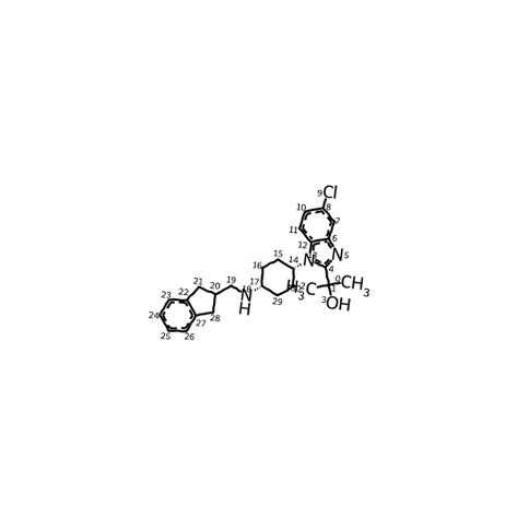 CC(C)(O)c1nc2cc(Cl)ccc2n1[C@H]1CC[C@@H](NCC2Cc3ccccc3C2)CC1